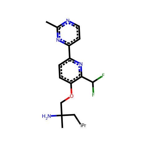 Cc1nccc(-c2ccc(OCC(C)(N)CC(C)C)c(C(F)F)n2)n1